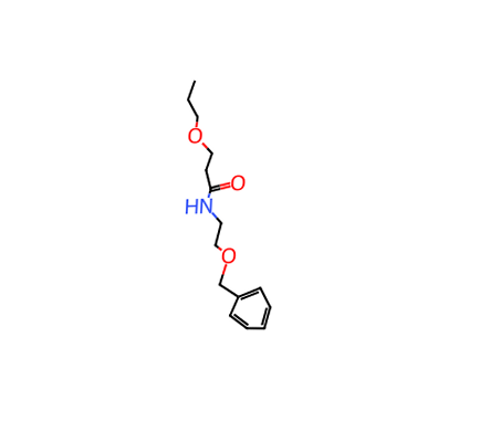 CCCOCCC(=O)NCCOCc1ccccc1